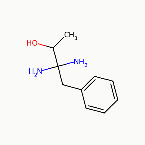 CC(O)C(N)(N)Cc1ccccc1